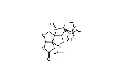 CC(=O)OC1C[C@@H](C(C)(C)C)C23CC(=O)OC2OCC13[C@@H](O)C1OC[C@@H](C)[C@H]1O